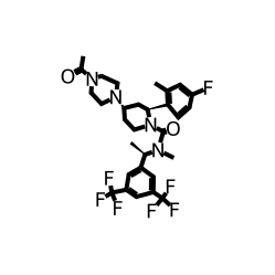 CC(=O)N1CCN([C@H]2CCN(C(=O)N(C)[C@H](C)c3cc(C(F)(F)F)cc(C(F)(F)F)c3)[C@H](c3ccc(F)cc3C)C2)CC1